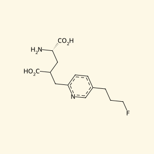 N[C@@H](CC(Cc1ccc(CCCF)cn1)C(=O)O)C(=O)O